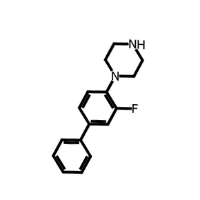 Fc1cc(-c2ccccc2)ccc1N1CCNCC1